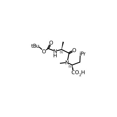 CC(C)C[C@@H](C(=O)O)N(C)C(=O)[C@H](C)NC(=O)OC(C)(C)C